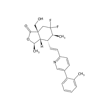 Cc1ccccc1-c1ccc(/C=C/[C@@H]2[C@@H]3[C@@H](C)OC(=O)[C@]3(CO)CC(F)(F)[C@H]2C)nc1